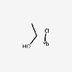 CCO.[Cl][Yb]